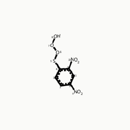 O=[N+]([O-])c1ccc(SOOO)c([N+](=O)[O-])c1